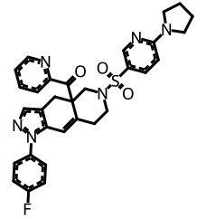 O=C(c1ccccn1)C12Cc3cnn(-c4ccc(F)cc4)c3C=C1CCN(S(=O)(=O)c1ccc(N3CCCC3)nc1)C2